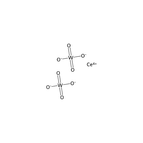 [Ce+4].[O]=[W](=[O])([O-])[O-].[O]=[W](=[O])([O-])[O-]